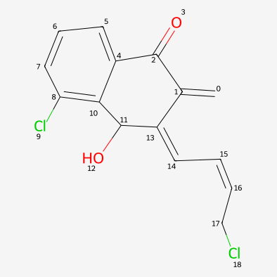 C=C1C(=O)c2cccc(Cl)c2C(O)/C1=C/C=C\CCl